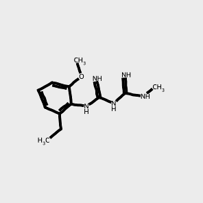 CCc1cccc(OC)c1NC(=N)NC(=N)NC